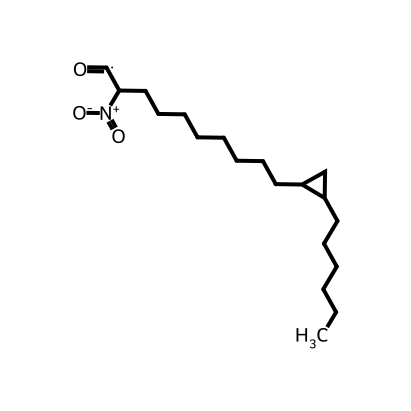 CCCCCCC1CC1CCCCCCCCC([C]=O)[N+](=O)[O-]